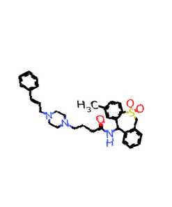 Cc1ccc2c(c1)C(NC(=O)CCCN1CCN(CC=Cc3ccccc3)CC1)c1ccccc1CS2(=O)=O